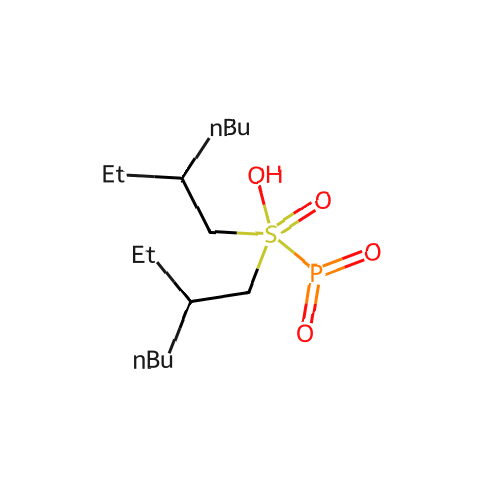 CCCCC(CC)CS(=O)(O)(CC(CC)CCCC)P(=O)=O